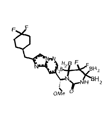 BC1(B)NC(=O)N([C@H](COC)c2cnn3cc(CC4CCC(F)(F)CC4)nc3c2)C(B)(B)C1(F)F